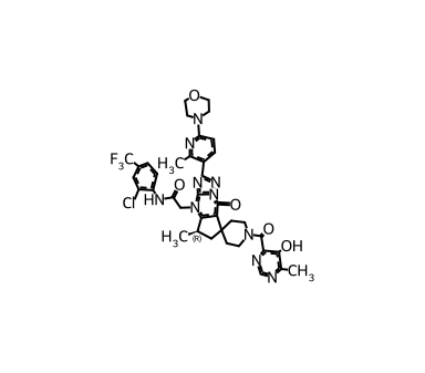 Cc1nc(N2CCOCC2)ccc1-c1nc2n(CC(=O)Nc3ccc(C(F)(F)F)cc3Cl)c3c(c(=O)n2n1)C1(CCN(C(=O)c2ncnc(C)c2O)CC1)C[C@H]3C